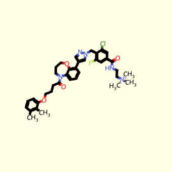 Cc1cccc(OCCCC(=O)N2CCCOc3c(-c4cnn(Cc5c(F)cc(C(=O)NCC[N+](C)(C)C)cc5Cl)c4)cccc32)c1C